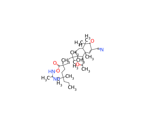 CCCC(C)(C)CC[C@@](C)(CCC(C)(C)[C@]1(C)CC[C@H]2C(C)(C)C(=O)C(C#N)=C[C@]2(C)/C1=C/C(C)=O)C(=O)ONC(C)=N